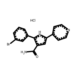 Cl.NC(=O)c1cc(-c2ccncc2)[nH]c1-c1cccc(Br)c1